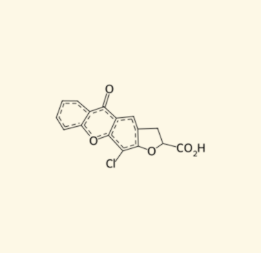 O=C(O)C1Cc2cc3c(=O)c4ccccc4oc3c(Cl)c2O1